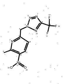 Cc1nc(Cn2nnc(C(F)(F)F)n2)ccc1[N+](=O)[O-]